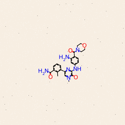 Cc1c(C(N)=O)cccc1-c1cn(C)c(=O)c(Nc2ccc(C(=O)N3CCOCC3)c(N)c2)n1